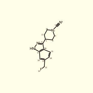 N#CN1CCC(c2n[nH]c3cc(CF)ccc23)CC1